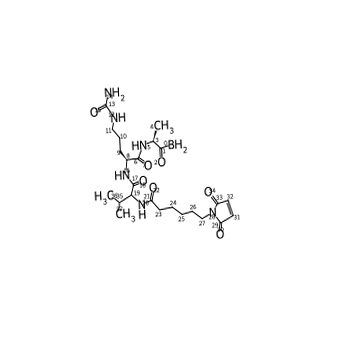 BC(=O)[C@H](C)NC(=O)[C@H](CCCNC(N)=O)NC(=O)C(NC(=O)CCCCCN1C(=O)C=CC1=O)C(C)C